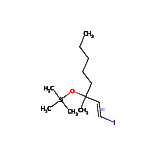 CCCCCC(C)(/C=C/I)O[Si](C)(C)C